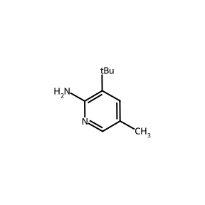 Cc1cnc(N)c(C(C)(C)C)c1